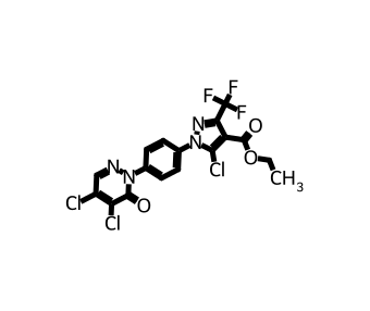 CCOC(=O)c1c(C(F)(F)F)nn(-c2ccc(-n3ncc(Cl)c(Cl)c3=O)cc2)c1Cl